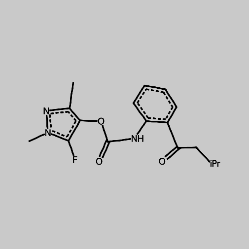 Cc1nn(C)c(F)c1OC(=O)Nc1ccccc1C(=O)CC(C)C